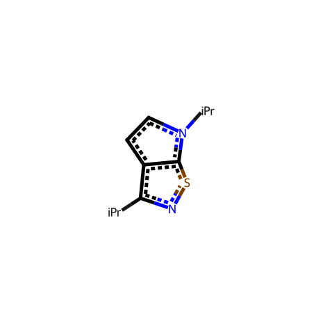 CC(C)c1nsc2c1ccn2C(C)C